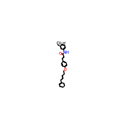 O=C(O)Cc1cccc(NC(=O)CCc2ccc(OCCCCCc3ccccc3)cc2)c1